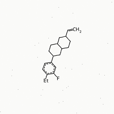 C=CC1CCC2CC(c3ccc(CC)c(F)c3)CCC2C1